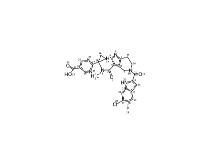 CN(C(=O)c1[nH]nc2c1CN(C(=O)c1cc3cc(F)c(Cl)cc3[nH]1)CC2)C1(c2ncc(C(=O)O)cn2)CC1